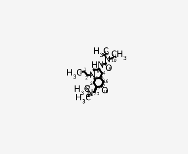 CCCN1CC(NC(=O)N(CC)CC)CC2CC(=O)/C(=C/N(C)C)CC21